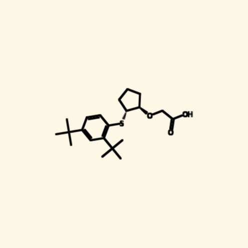 CC(C)(C)c1ccc(S[C@@H]2CCC[C@H]2OCC(=O)O)c(C(C)(C)C)c1